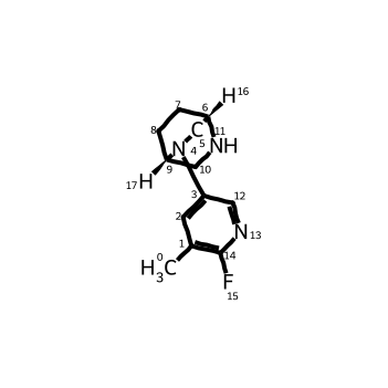 Cc1cc(N2C[C@@H]3CC[C@H]2CN3)cnc1F